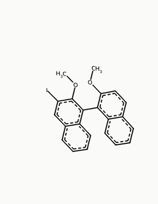 COc1ccc2ccccc2c1-c1c(OC)c(I)cc2ccccc12